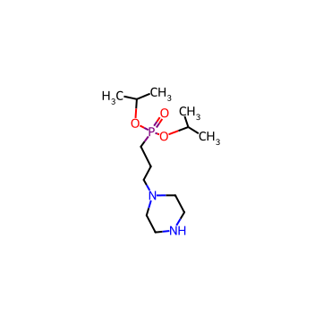 CC(C)OP(=O)(CCCN1CCNCC1)OC(C)C